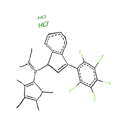 CC1=C(C)C(C)[C]([Zr]([CH]2C=C(c3c(F)c(F)c(F)c(F)c3F)c3ccccc32)=[Si](C)C)=C1C.Cl.Cl